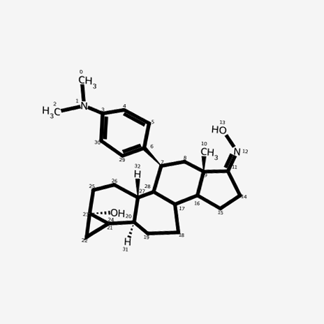 CN(C)c1ccc([C@H]2C[C@]3(C)/C(=N\O)CCC3C3CC[C@H]4C5C[C@@]5(O)CC[C@@H]4C32)cc1